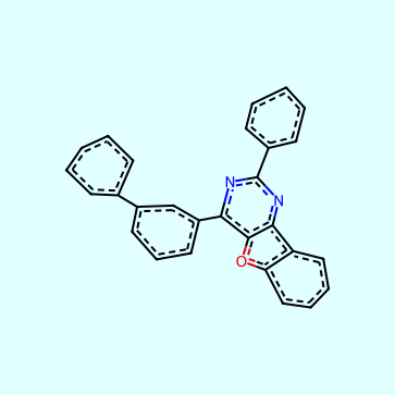 c1ccc(-c2cccc(-c3nc(-c4ccccc4)nc4c3oc3ccccc34)c2)cc1